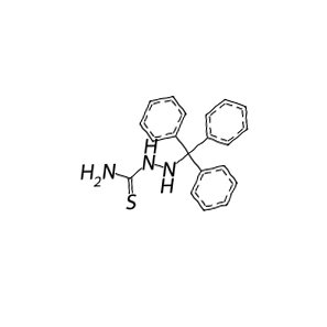 NC(=S)NNC(c1ccccc1)(c1ccccc1)c1ccccc1